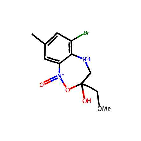 COCC1(O)CNc2c(Br)cc(C)cc2[N+](=O)O1